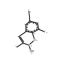 CC1=Cc2cc(Br)cc(F)c2OB1O